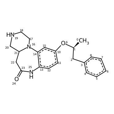 C[C@@H](Cc1ccccc1)Oc1ccc2c(c1)N1CCNCC1CC(=O)N2